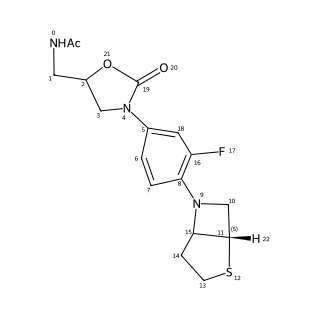 CC(=O)NCC1CN(c2ccc(N3C[C@@H]4SCCC43)c(F)c2)C(=O)O1